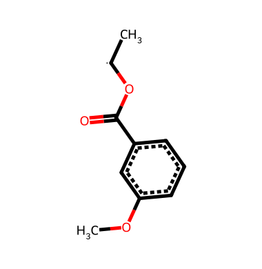 C[CH]OC(=O)c1cccc(OC)c1